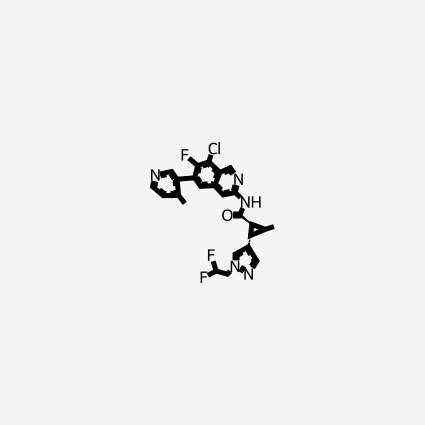 Cc1ccncc1-c1cc2cc(NC(=O)[C@H]3C(C)[C@@H]3c3cnn(CC(F)F)c3)ncc2c(Cl)c1F